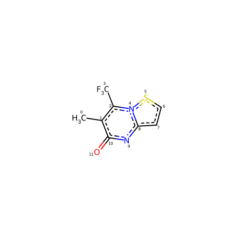 Cc1c(C(F)(F)F)n2sccc2nc1=O